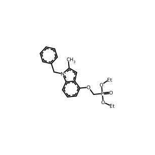 CCOP(=O)(COc1cccc2c1cc(C)n2Cc1ccccc1)OCC